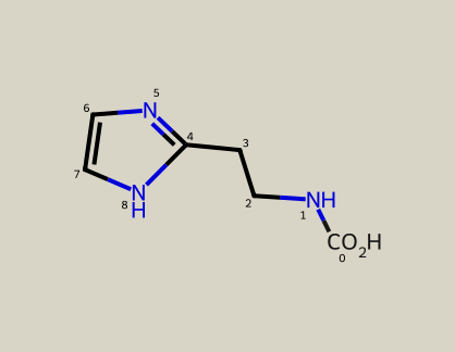 O=C(O)NCCc1ncc[nH]1